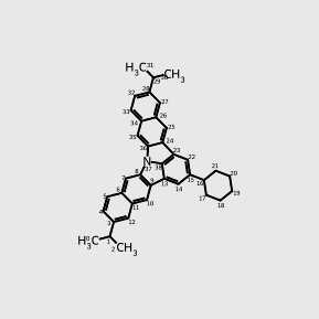 CC(C)c1ccc2cc3c(cc2c1)c1cc(C2CCCCC2)cc2c4cc5cc(C(C)C)ccc5cc4n3c12